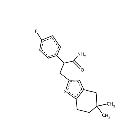 CC1(C)CCc2sc(CC(C(N)=O)c3ccc(F)cc3)cc2C1